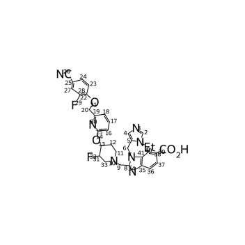 CCn1cncc1Cn1c(CN2CCC(Oc3cccc(COc4ccc(C#N)cc4F)n3)C(F)C2)nc2ccc(C(=O)O)cc21